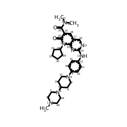 CN1CCN(C2CCN(c3ccc(Nc4ncc5cc(C(=O)N(C)C)c(=O)n(C6CCCC6)c5n4)cc3)CC2)CC1